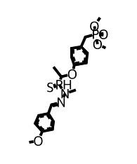 COc1ccc(/C=N/N(C)[PH](=S)C(C)Oc2ccc(CP(=O)(OC)OC)cc2)cc1